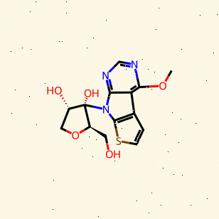 COc1ncnc2c1c1ccsc1n2[C@]1(O)[C@@H](O)CO[C@@H]1CO